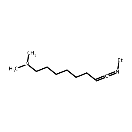 CCN=C=CCCCCCCN(C)C